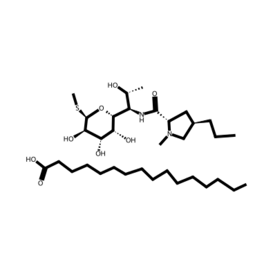 CCCCCCCCCCCCCCCC(=O)O.CCC[C@@H]1C[C@@H](C(=O)N[C@@H]([C@H]2O[C@H](SC)[C@H](O)[C@@H](O)[C@H]2O)[C@@H](C)O)N(C)C1